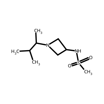 CC(C)C(C)N1CC(NS(C)(=O)=O)C1